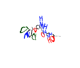 C[C@@H](O)Cn1cc(NC(=O)c2n[nH]c3ccc(O[C@H](C)c4c(Cl)cncc4Cl)cc23)cn1